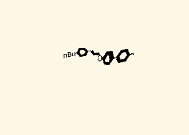 CCCC[C@H]1CC[C@H](CCCOc2ccc([C@H]3CC[C@H](C)CC3)cc2)CC1